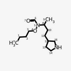 CCCCON(C=O)C(C)CCC1CCNC1